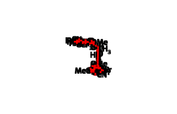 COC(=O)[C@H](CCC(=O)NCCC(C)CCCC(=O)NCCSSCCCC(=O)N1C[C@H](OP(OCCC#N)N(C(C)C)C(C)C)C[C@H]1COC(c1ccccc1)(c1ccc(OC)cc1)c1ccc(OC)cc1)NC(=O)c1ccc(N(Cc2cnc3nc(NC(=O)C(C)C)[nH]c(=O)c3n2)C(=O)C(F)(F)F)cc1